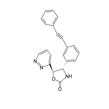 O=C1N[C@@H](c2cccc(C#Cc3ccccc3)c2)[C@H](c2cccnn2)O1